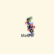 COC[C@@H]1CCCN1c1ccc2c(c1)OC[C@H]1[C@H](CNC(=O)c3ccc(Cl)s3)OC(=O)N21